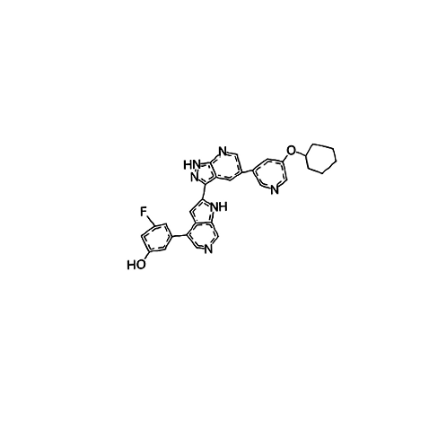 Oc1cc(F)cc(-c2cncc3[nH]c(-c4n[nH]c5ncc(-c6cncc(OC7CCCCC7)c6)cc45)cc23)c1